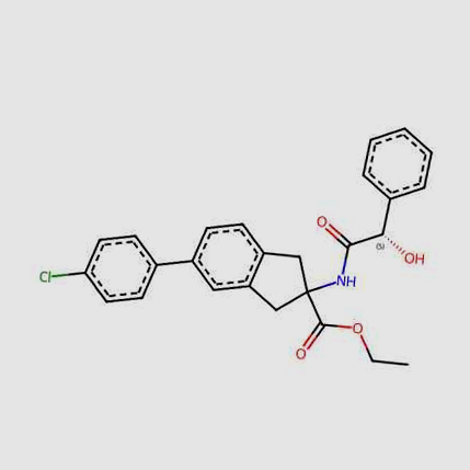 CCOC(=O)C1(NC(=O)[C@@H](O)c2ccccc2)Cc2ccc(-c3ccc(Cl)cc3)cc2C1